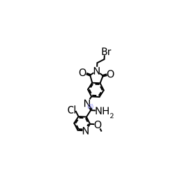 COc1nccc(Cl)c1/C(N)=N/c1ccc2c(c1)C(=O)N(CCBr)C2=O